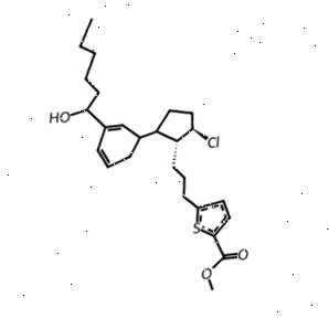 CCCCCC(O)C1=CC(C2CC[C@@H](Cl)[C@@H]2CCCc2ccc(C(=O)OC)s2)CC=C1